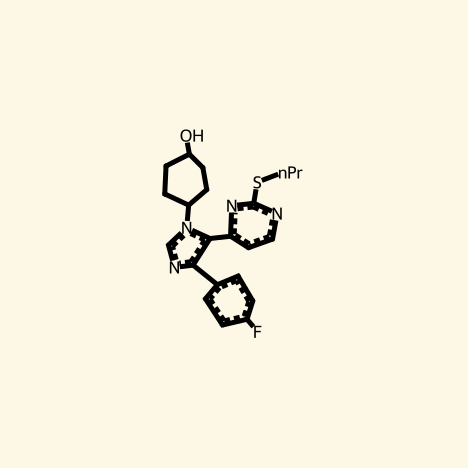 CCCSc1nccc(-c2c(-c3ccc(F)cc3)ncn2C2CCC(O)CC2)n1